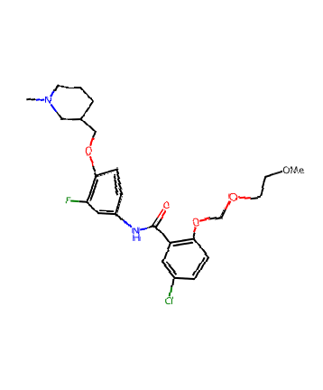 COCCOCOc1ccc(Cl)cc1C(=O)Nc1ccc(OCC2CCCN(C)C2)c(F)c1